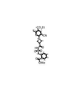 CCOC(=O)c1cc(C#N)c(N2CC(C(=O)NS(=O)(=O)Cc3ccccc3C(=O)OC)C2)nc1C